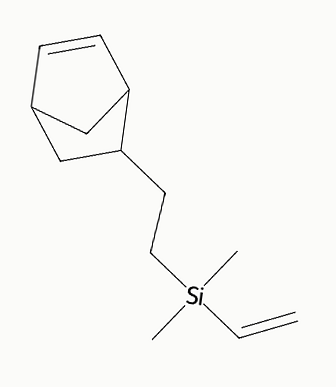 C=C[Si](C)(C)CCC1CC2C=CC1C2